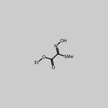 CCOC(=O)/C(=N/O)SC